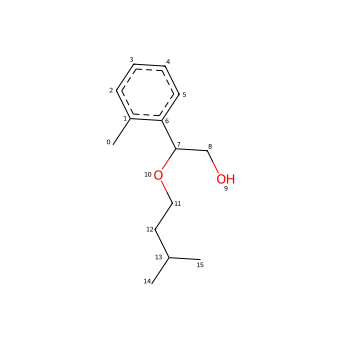 Cc1ccccc1C(CO)OCCC(C)C